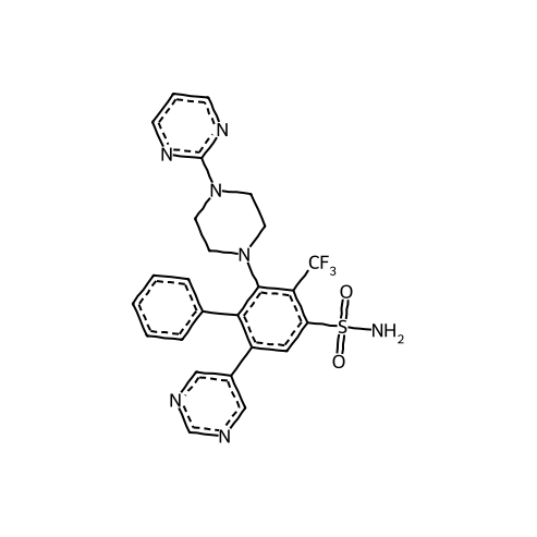 NS(=O)(=O)c1cc(-c2cncnc2)c(-c2ccccc2)c(N2CCN(c3ncccn3)CC2)c1C(F)(F)F